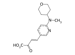 CN(c1ccc(/C=C/C(=O)C(=O)O)cn1)C1CCOCC1